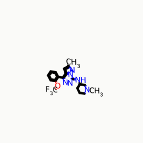 Cc1cc2c(-c3ccccc3OC(F)(F)F)nnc(N[C@@H]3CCCN(C)C3)n2n1